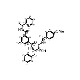 COc1ccc([C@@H](C)NC[C@@H](O)[C@H](Cc2ccccc2)NC(=O)c2cc(C)cc(C(=O)NC(C)c3ccccn3)c2)cc1